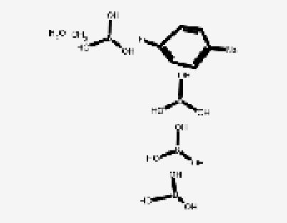 Fc1cc[c]([Na])cc1.O.O.OB(O)O.OB(O)O.OB(O)O.OB(O)O